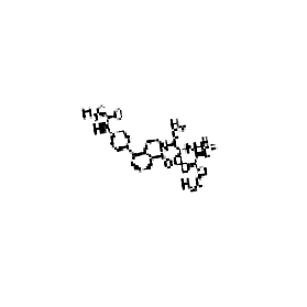 C=C(NC(=O)C(=C)n1ccc2c(-c3ccc(NC(C)=O)cc3)cccc2c1=O)C(=O)OC